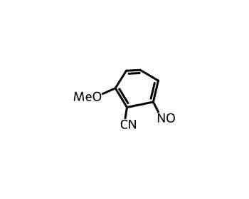 COc1cccc(N=O)c1C#N